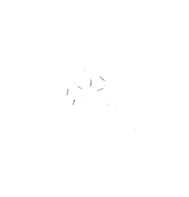 CCCOc1ccc(CNCCCS(=O)(=O)O)cc1-c1nc(CC)c(CC)c(=O)[nH]1